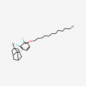 Fc1c(OCCCCCCCCCCCBr)ccc([C@]23CC4CC(C[C@H](C4)C2)C3)c1F